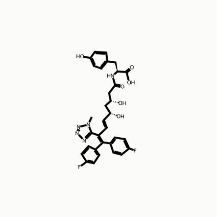 Cn1nnnc1C(C=C[C@@H](O)C[C@@H](O)CC(=O)N[C@@H](Cc1ccc(O)cc1)C(=O)O)=C(c1ccc(F)cc1)c1ccc(F)cc1